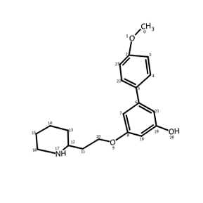 COc1ccc(-c2[c]c(OCCC3CCCCN3)cc(O)c2)cc1